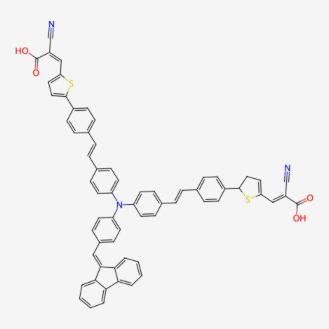 N#C/C(=C/c1ccc(-c2ccc(/C=C/c3ccc(N(c4ccc(C=C5c6ccccc6-c6ccccc65)cc4)c4ccc(/C=C/c5ccc(C6CC=C(/C=C(\C#N)C(=O)O)S6)cc5)cc4)cc3)cc2)s1)C(=O)O